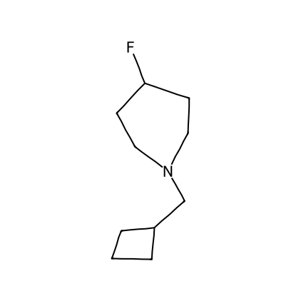 FC1CCN(CC2CCC2)CC1